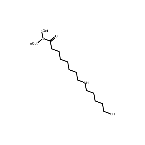 CCCCCCCCN(CCCCCCCC)C(=O)CCCCCCCNCCCCCO